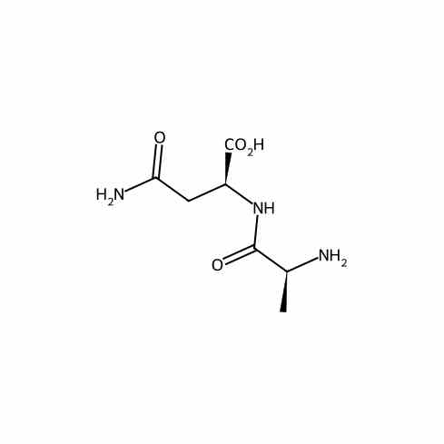 C[C@H](N)C(=O)N[C@@H](CC(N)=O)C(=O)O